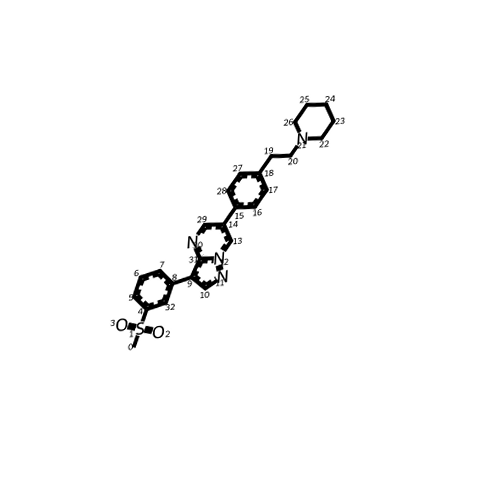 CS(=O)(=O)c1cccc(-c2cnn3cc(-c4ccc(CCN5CCCCC5)cc4)cnc23)c1